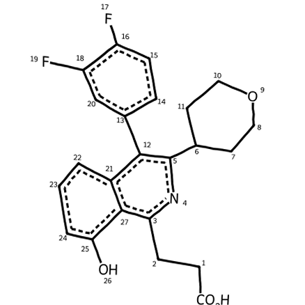 O=C(O)CCc1nc(C2CCOCC2)c(-c2ccc(F)c(F)c2)c2cccc(O)c12